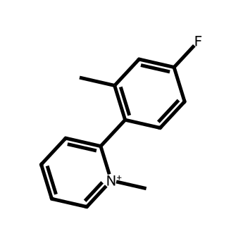 Cc1cc(F)ccc1-c1cccc[n+]1C